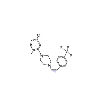 Cc1ccc(Cl)cc1N1CCN(/C=C\c2ccc(C(F)(F)F)cc2)CC1